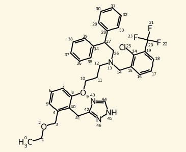 CCOCc1cccc(OCCCN(Cc2cccc(C(F)(F)F)c2Cl)CC(c2ccccc2)c2ccccc2)c1Cc1nc[nH]n1